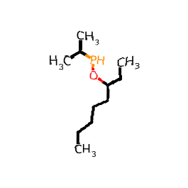 CCCCCC(CC)OPC(C)C